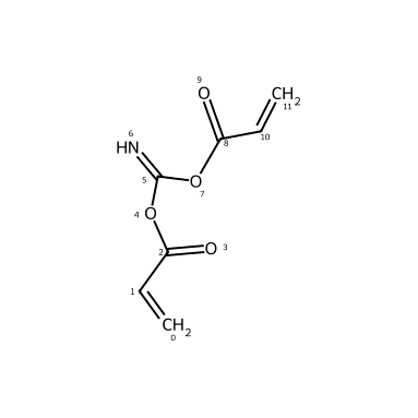 C=CC(=O)OC(=N)OC(=O)C=C